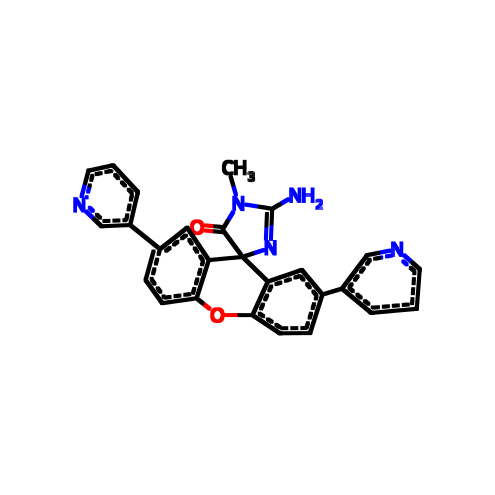 CN1C(=O)C2(N=C1N)c1cc(-c3cccnc3)ccc1Oc1ccc(-c3cccnc3)cc12